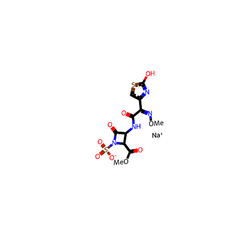 CON=C(C(=O)NC1C(=O)N(S(=O)(=O)[O-])C1C(=O)OC)c1csc(O)n1.[Na+]